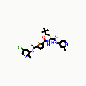 Cc1cc(NC(=O)[C@@H](CCC(C)(C)C)NC(=O)c2ccc([C@H](C)Nc3cc(Cl)cnc3C)s2)ccn1